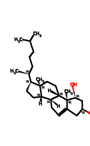 CC(C)CCC[C@@H](C)[C@H]1CC[C@H]2[C@@H]3CC=C4C[C@H](O)C[C@@H](O)[C@]4(C)[C@H]3CC[C@]12C